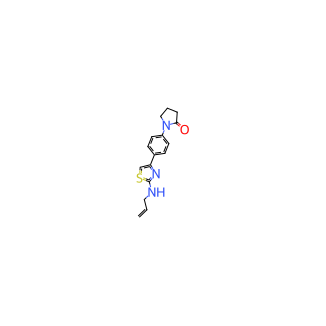 C=CCNc1nc(-c2ccc(N3CCCC3=O)cc2)cs1